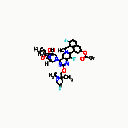 C#Cc1c(F)ccc2cc(OC(=O)C(C)C)cc(-c3ncc4c(N5C[C@H]6CC(C)(O)[C@@H](C5)N6C(=O)C=C)nc(OC[C@]5(C)C[C@@H](F)CN5C)nc4c3F)c12